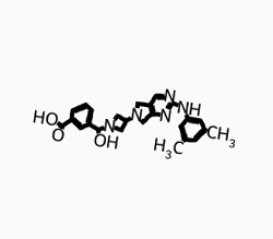 Cc1cc(C)cc(Nc2ncc3c(n2)CN(C2CN(C(O)c4cccc(C(=O)O)c4)C2)C3)c1